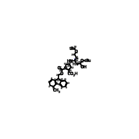 CC1CC=CC2=C1c1ccccc1C2COC(=O)N1C[C@H](N/C(=N\COC(C)(C)C)NC(O)OC(C)(C)C)C[C@H]1C(=O)O